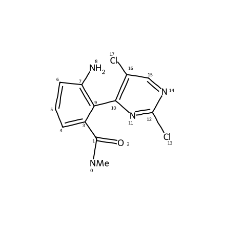 CNC(=O)c1cccc(N)c1-c1nc(Cl)ncc1Cl